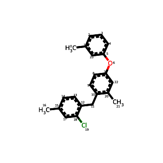 Cc1cccc(Oc2ccc(Cc3ccc(C)cc3Cl)c(C)c2)c1